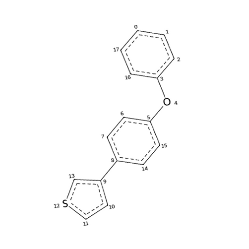 c1ccc(Oc2ccc(-c3ccsc3)cc2)cc1